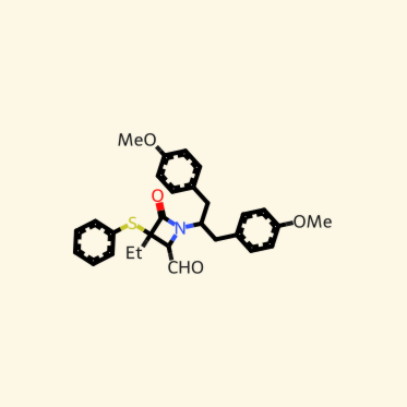 CCC1(Sc2ccccc2)C(=O)N(C(Cc2ccc(OC)cc2)Cc2ccc(OC)cc2)C1C=O